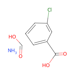 N.O=C(O)c1cccc(Cl)c1.O=CO